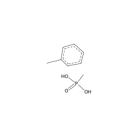 CP(=O)(O)O.Cc1ccccc1